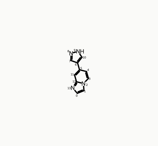 c1cn2ccc(-c3cn[nH]c3)cc2n1